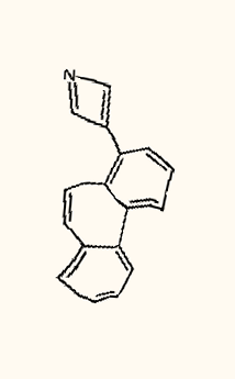 C1=NC=C1c1cccc2c1ccc1ccccc12